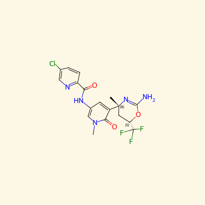 Cn1cc(NC(=O)c2ccc(Cl)cn2)cc([C@@]2(C)C[C@@H](C(F)(F)F)OC(N)=N2)c1=O